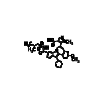 COc1ccc2c(c1)C=C(c1c(C(=O)O)cnn1C)Cn1c-2c(C2CCCCC2)c2ccc(C(=O)NS(=O)(=O)CC(C)C)cc21